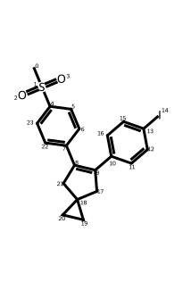 CS(=O)(=O)c1ccc(C2=C(c3ccc(I)cc3)CC3(CC3)C2)cc1